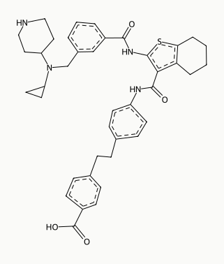 O=C(O)c1ccc(CCc2ccc(NC(=O)c3c(NC(=O)c4cccc(CN(C5CCNCC5)C5CC5)c4)sc4c3CCCC4)cc2)cc1